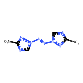 O=[N+]([O-])c1ncn(/N=N/n2cnc([N+](=O)[O-])n2)n1